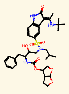 CC(NC(C)(C)C)=C1C(=O)Nc2ccc(S(=O)(=O)N(CC(C)C)CC(O)C(Cc3ccccc3)NC(=O)OC3COC4OCCC34)cc21